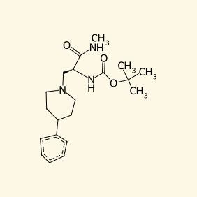 CNC(=O)[C@H](CN1CCC(c2ccccc2)CC1)NC(=O)OC(C)(C)C